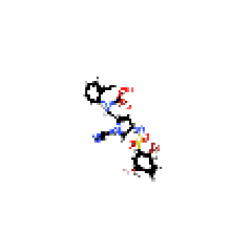 Cc1ccccc1N(C[C@H]1C[C@@H](NS(=O)(=O)c2cc(Br)ccc2Br)CN1C#N)C(=O)O